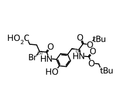 CC(C)(C)COC(=O)N[C@@H](Cc1ccc(O)c(NC(=O)[C@@H](Br)CCC(=O)O)c1)C(=O)OC(C)(C)C